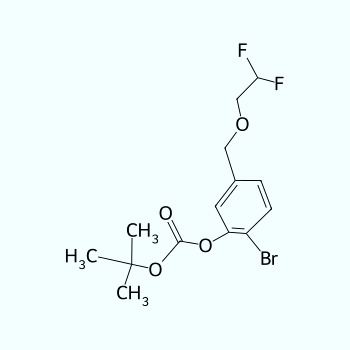 CC(C)(C)OC(=O)Oc1cc(COCC(F)F)ccc1Br